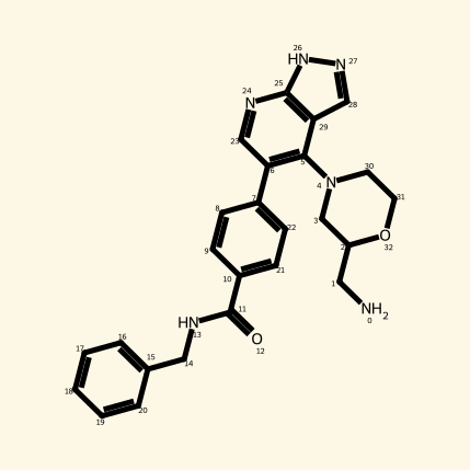 NCC1CN(c2c(-c3ccc(C(=O)NCc4ccccc4)cc3)cnc3[nH]ncc23)CCO1